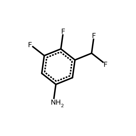 Nc1cc(F)c(F)c(C(F)F)c1